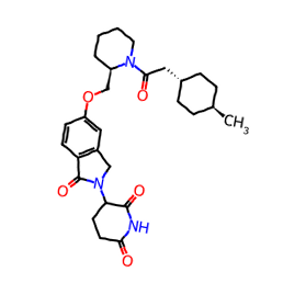 C[C@H]1CC[C@H](CC(=O)N2CCCC[C@@H]2COc2ccc3c(c2)CN(C2CCC(=O)NC2=O)C3=O)CC1